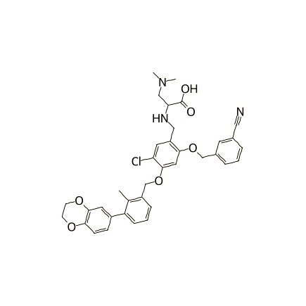 Cc1c(COc2cc(OCc3cccc(C#N)c3)c(CNC(CN(C)C)C(=O)O)cc2Cl)cccc1-c1ccc2c(c1)OCCO2